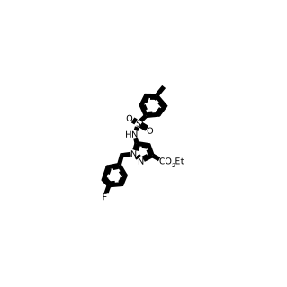 CCOC(=O)c1cc(NS(=O)(=O)c2ccc(C)cc2)n(Cc2ccc(F)cc2)n1